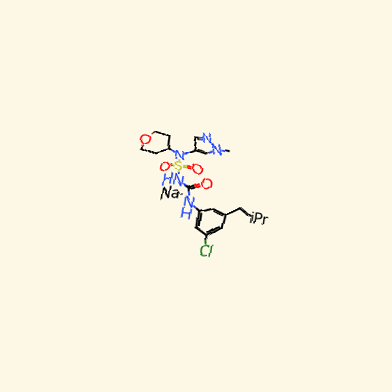 CC(C)Cc1cc(Cl)cc(NC(=O)NS(=O)(=O)N(c2cnn(C)c2)C2CCOCC2)c1.[Na]